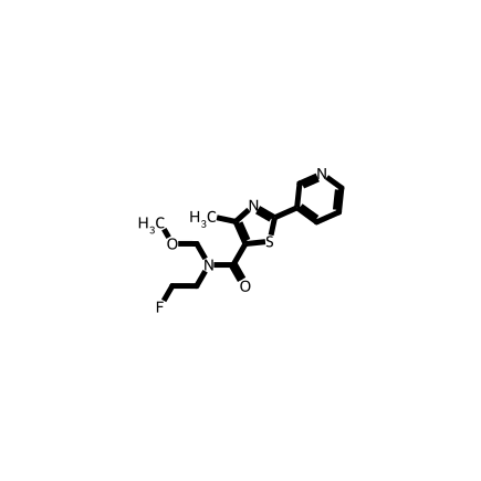 COCN(CCF)C(=O)c1sc(-c2cccnc2)nc1C